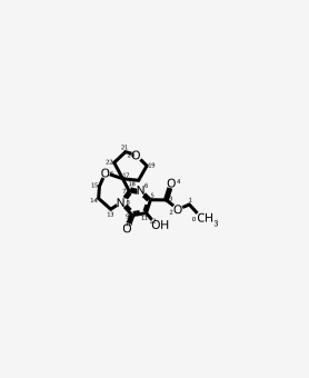 CCOC(=O)c1nc2n(c(=O)c1O)CCCOC21CCOCC1